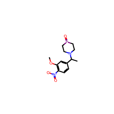 COc1cc(C(C)N2CC[P](=O)CC2)ccc1[N+](=O)[O-]